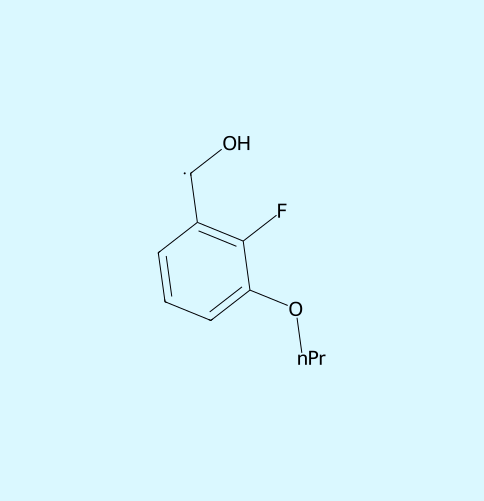 CCCOc1cccc([CH]O)c1F